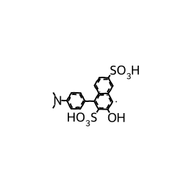 CN(C)c1ccc(-c2c(S(=O)(=O)O)c(O)[c]c3cc(S(=O)(=O)O)ccc23)cc1